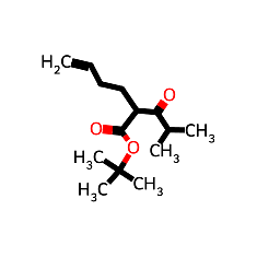 C=CCCC(C(=O)OC(C)(C)C)C(=O)C(C)C